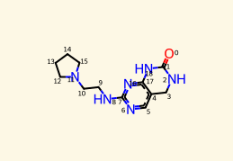 O=C1NCc2cnc(NCCN3CCCC3)nc2N1